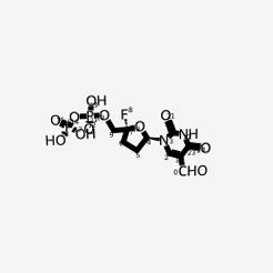 O=Cc1cn([C@H]2CC[C@@](F)(COP(=O)(O)OP(=O)(O)O)O2)c(=O)[nH]c1=O